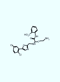 NCCCC(NCc1ncc(-c2cc(Cl)ccc2Cl)o1)C(=O)Nc1ccccc1C(=O)O